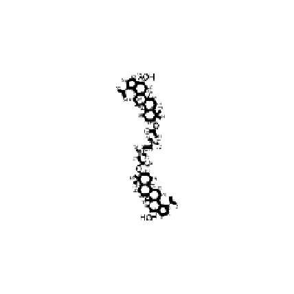 C=C(C)[C@@H]1CC[C@@]2(CO)CC[C@@]34C[C@]35CCC3C(C)(C)[C@@H](OC(=O)C[N+](C)(C)CC[N+](C)(C)CC(=O)O[C@H]6CC[C@@]7(C)C(CC[C@]8(C)C7CCC7C9[C@H](C(=C)C)CC[C@@]9(CO)CC[C@]78C)C6(C)C)CC[C@]3(C)C5CCC4C12